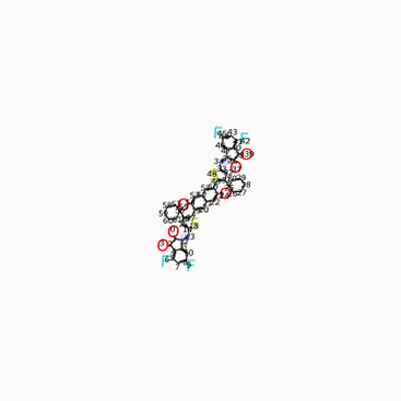 O=C1C(=O)c2c(F)cc(F)cc2/C1=C/c1cc2c(s1)C1=CC3C=C4OC5(CCCCC5)c5cc(/C=C6\C(=O)C(=O)c7c(F)cc(F)cc76)sc5C4=CC3C=C1OC21CCCCC1